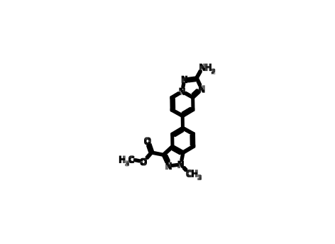 COC(=O)c1nn(C)c2ccc(-c3ccn4nc(N)nc4c3)cc12